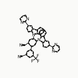 N#Cc1cc(-c2cc(-n3c4ccccc4c4cc(-c5ncccn5)ccc43)c(-n3c4ccccc4c4cc(-c5ncccn5)ccc43)cc2C#N)cc(C(F)(F)F)c1